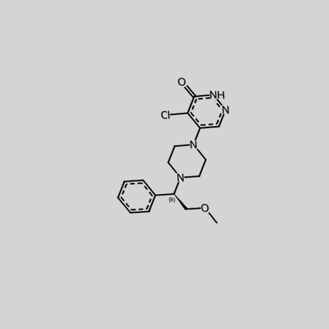 COC[C@@H](c1ccccc1)N1CCN(c2cn[nH]c(=O)c2Cl)CC1